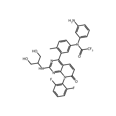 Cc1ccc(N(C(=O)C(F)(F)F)c2cccc(N)c2)cc1-c1nc(NC(CO)CO)nc2c1ccc(=O)n2-c1c(F)cccc1F